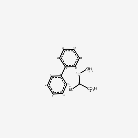 CCC(O[SiH3])C(=O)O.c1ccc(-c2ccccc2)cc1